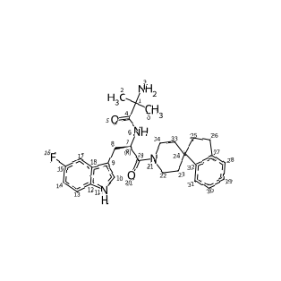 CC(C)(N)C(=O)N[C@H](Cc1c[nH]c2ccc(F)cc12)C(=O)N1CCC2(CCc3ccccc32)CC1